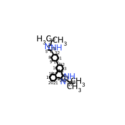 CC(C)c1ncc(-c2ccc(-c3ccc4c(c3)c3ccccc3c3nc(C(C)C)[nH]c43)cc2)[nH]1